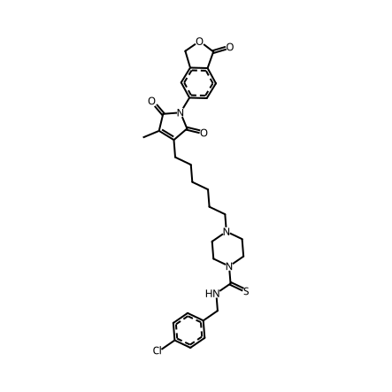 CC1=C(CCCCCCN2CCN(C(=S)NCc3ccc(Cl)cc3)CC2)C(=O)N(c2ccc3c(c2)COC3=O)C1=O